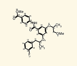 COC[C@H](C)Oc1cc(O[C@@H](C)Cc2cccc(F)c2)cc(C(=O)Nc2ccc(C(=O)OC)cn2)c1